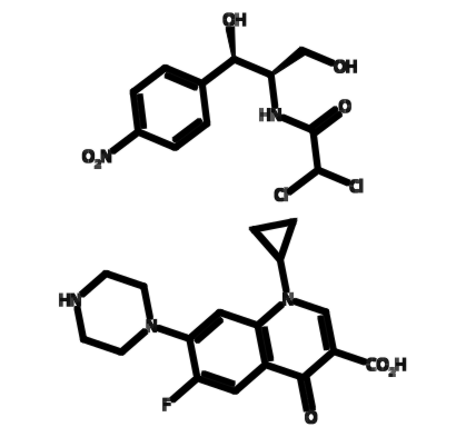 O=C(N[C@H](CO)[C@H](O)c1ccc([N+](=O)[O-])cc1)C(Cl)Cl.O=C(O)c1cn(C2CC2)c2cc(N3CCNCC3)c(F)cc2c1=O